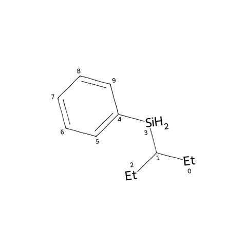 CCC(CC)[SiH2]c1ccccc1